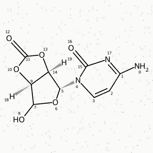 Nc1ccn([C@@H]2OC(O)[C@H]3OC(=O)O[C@H]32)c(=O)n1